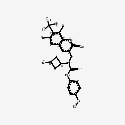 CCOc1ccc(NC(=S)N(Cc2cc3cc(C)c(C(N)(CC)CC)c(C)c3[nH]c2=O)C2CC(O)C2)cc1